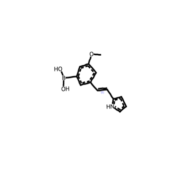 COc1cc(/C=C/c2ccc[nH]2)cc(B(O)O)c1